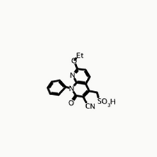 CCOc1ccc2c(CS(=O)(=O)O)c(C#N)c(=O)n(-c3ccccc3)c2n1